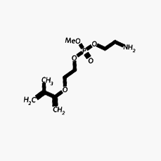 C=C(C)C(=C)OCCOP(=O)(OC)OCCN